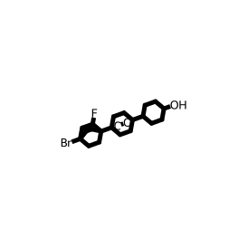 OC1CCC(C23CCC(C45CCC(Br)(C=C4F)CC5)(CC2)CC3)CC1